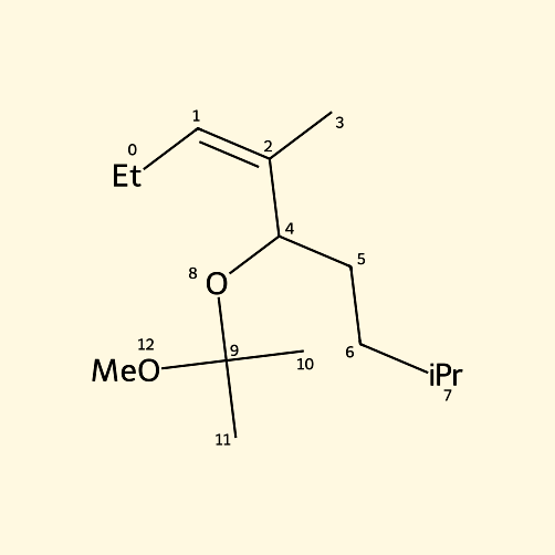 CCC=C(C)C(CCC(C)C)OC(C)(C)OC